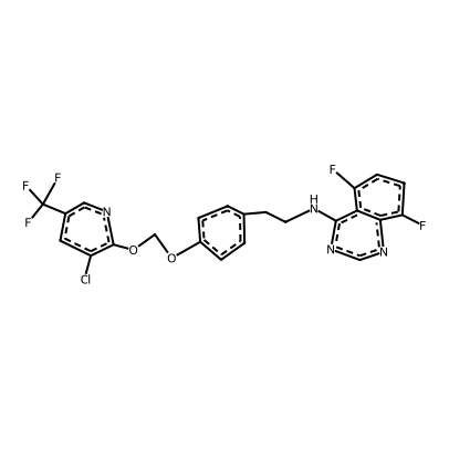 Fc1ccc(F)c2c(NCCc3ccc(OCOc4ncc(C(F)(F)F)cc4Cl)cc3)ncnc12